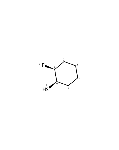 F[C@H]1CCCC[C@H]1S